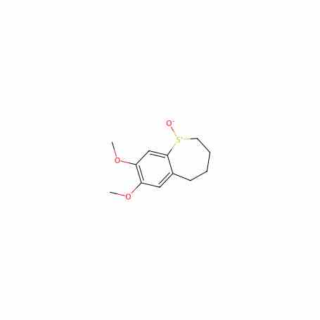 COc1cc2c(cc1OC)[S+]([O-])CCCC2